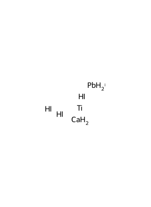 I.I.I.[CaH2].[PbH2].[Ti]